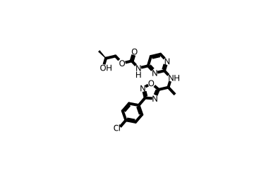 CC(Nc1nccc(NC(=O)OC[C@H](C)O)n1)c1nc(-c2ccc(Cl)cc2)no1